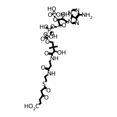 CC(C)(COP(=O)(O)OP(=O)(O)OC[C@H]1O[C@@H](n2cnc3c(N)ncnc32)[C@H](O)[C@@H]1OP(=O)(O)O)[C@@H](O)C(=O)NCCC(=O)NCCSC(=O)CC(=O)CCC(=O)O